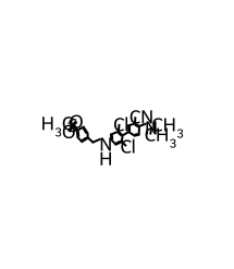 CN(C)Cc1ccc(-c2c(Cl)cc(NCCc3ccc(S(C)(=O)=O)cc3)cc2Cl)cc1C#N